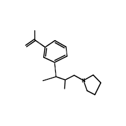 C=C(C)c1cccc(C(C)C(C)CN2CCCC2)c1